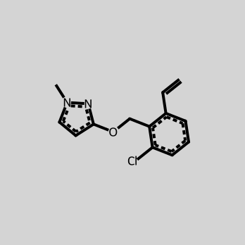 C=Cc1cccc(Cl)c1COc1ccn(C)n1